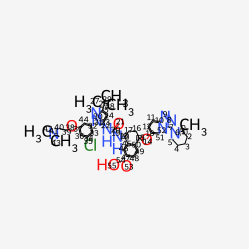 C[C@H]1CCCCN1c1nnc2ccc(O[C@@H]3CC[C@H](NC(=O)Nc4cc(C(C)(C)C)nn4-c4cc(Cl)cc(OCCN(C)C)c4)c4ccccc43)cn12.O=CO